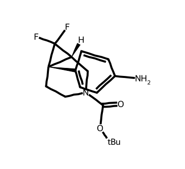 CC(C)(C)OC(=O)N1CC[C@@]2(c3ccc(N)cc3)[C@@H](C1)C2(F)F